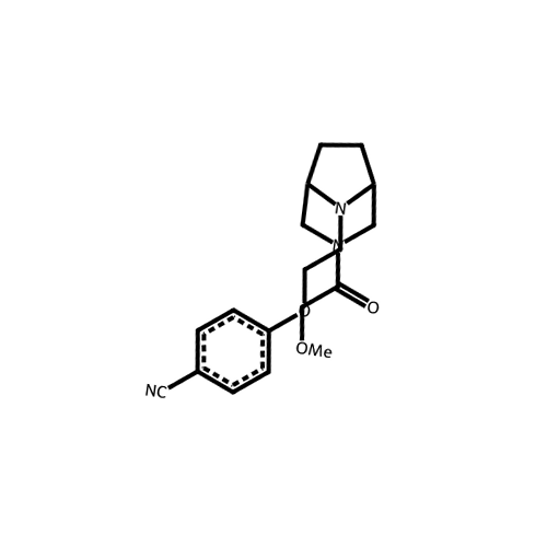 COCC(=O)N1CC2CCC(C1)N2CCOc1ccc(C#N)cc1